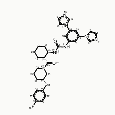 O=C(Nc1cc(-n2ccnc2)cc(-n2ccnc2)c1)N[C@@H]1CCCC[C@H]1C(=O)N1CCC[C@@H](Cc2ccc(F)cc2)C1